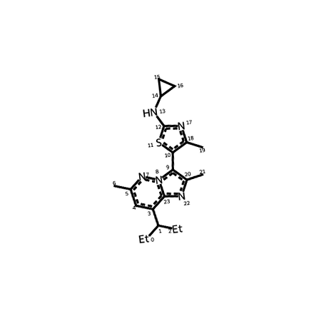 CCC(CC)c1cc(C)nn2c(-c3sc(NC4CC4)nc3C)c(C)nc12